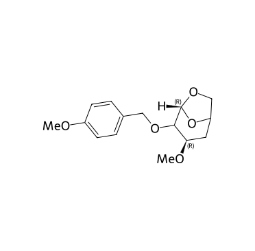 COc1ccc(COC2[C@@H]3OCC(C[C@H]2OC)O3)cc1